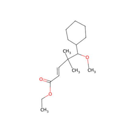 CCOC(=O)/C=C/C(C)(C)C(OC)C1CCCCC1